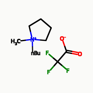 CCCC[N+]1(C)CCCC1.O=C([O-])C(F)(F)F